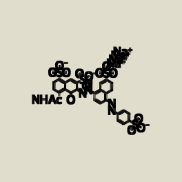 CC(=O)Nc1ccc(S(=O)(=O)[O-])c2c1C(=O)/C(=N/Nc1ccc(N=Nc3ccc(S(=O)(=O)[O-])cc3)c3ccc(S(=O)(=O)[O-])cc13)C(S(=O)(=O)[O-])=C2.[Na+].[Na+].[Na+].[Na+]